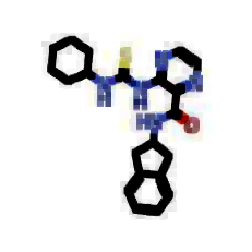 O=C(NC1Cc2ccccc2C1)c1nccnc1NC(=S)NC1CCCCC1